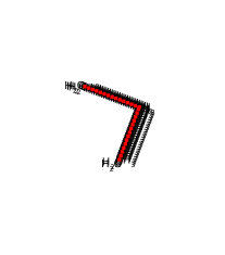 N.N.N.N.N.N.N.N.N.N.N.N.N.N.N.N.N.N.N.N.N.N.N.N.N.N.N.N.N.N.N.N.N.N.N.N.N.N.N.N.N.N.N.N.N.N.N.N.N.N.N.N.N.N.N.O.O.O.O.O